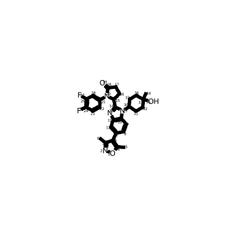 Cc1noc(C)c1-c1ccc2c(c1)nc(C1CCC(=O)N1c1ccc(F)c(F)c1)n2C1CCC(C)(O)CC1